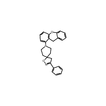 [C]1c2ccccc2Oc2cccc(N3CCC4(CC3)CC(c3ccccc3)=NO4)c21